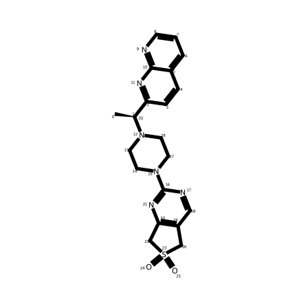 C[C@@H](c1ccc2cccnc2n1)N1CCN(c2ncc3c(n2)CS(=O)(=O)C3)CC1